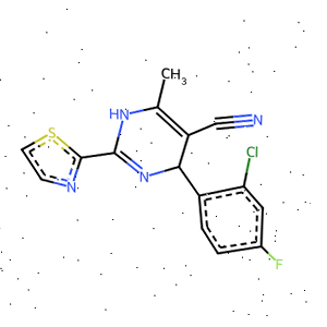 CC1=C(C#N)C(c2ccc(F)cc2Cl)N=C(c2nccs2)N1